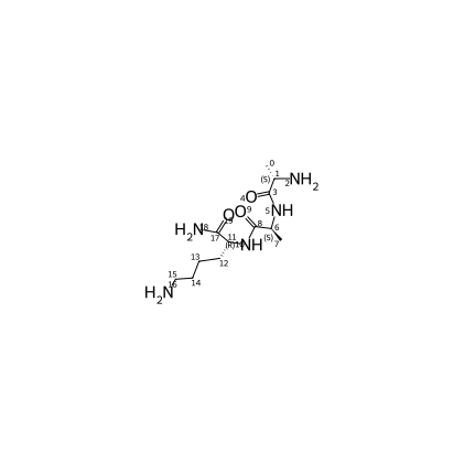 C[C@H](N)C(=O)N[C@@H](C)C(=O)N[C@H](CCCCN)C(N)=O